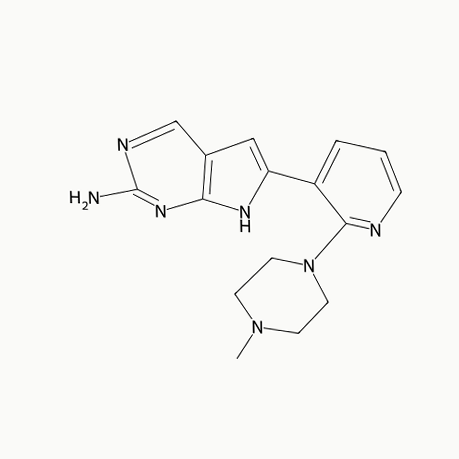 CN1CCN(c2ncccc2-c2cc3cnc(N)nc3[nH]2)CC1